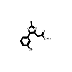 COC(=O)Cc1nc(C)sc1-c1cccc(O)c1